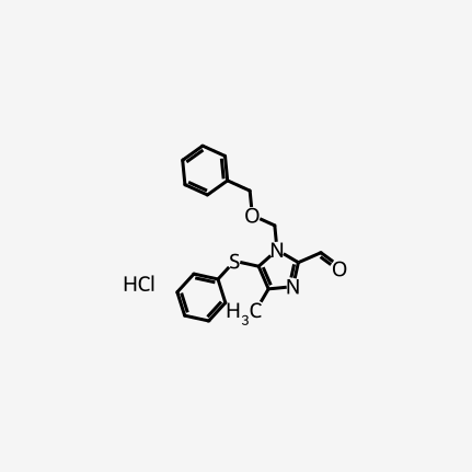 Cc1nc(C=O)n(COCc2ccccc2)c1Sc1ccccc1.Cl